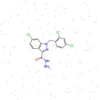 NNC(=O)c1nn(Cc2ccc(Cl)cc2Cl)c2cc(Cl)ccc12